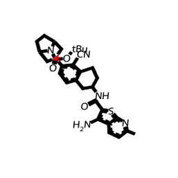 Cc1ccc2c(N)c(C(=O)NC3CCc4c(ccc(N5CC6CCC(C5)N6C(=O)OC(C)(C)C)c4C#N)C3)sc2n1